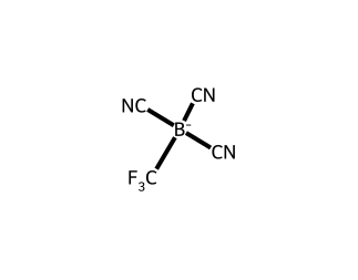 N#C[B-](C#N)(C#N)C(F)(F)F